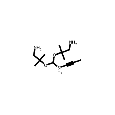 CC#C[SiH2]C(OC(C)(C)CN)OC(C)(C)CN